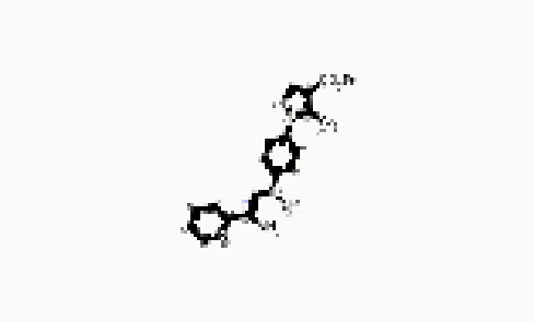 CCOC(=O)c1cnn(-c2ccc(N(N)/C=C(\N)c3ccccn3)cc2)c1C(F)(F)F